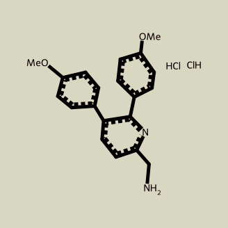 COc1ccc(-c2ccc(CN)nc2-c2ccc(OC)cc2)cc1.Cl.Cl